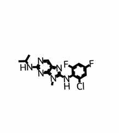 CC(C)Nc1ncc2nc(Nc3c(F)cc(F)cc3Cl)n(C)c2n1